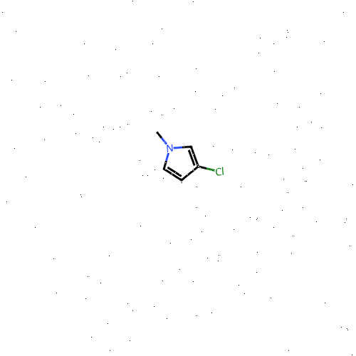 Cn1c[c]c(Cl)c1